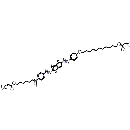 C=CC(=O)OCCCCCCCCCCCOc1ccc(/N=N/c2cc3sc(/N=N/c4ccc(NCCCCCCOC(=O)C=C)cc4)nc3s2)cc1